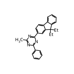 CCC1(CC)c2ccccc2-c2ccc(-c3nc(C)nc(-c4ccccc4)n3)cc21